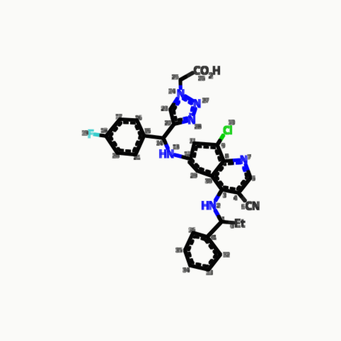 CCC(Nc1c(C#N)cnc2c(Cl)cc(NC(c3ccc(F)cc3)c3cn(CC(=O)O)nn3)cc12)c1ccccc1